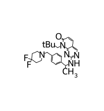 C[C@H](Nc1ncc2ccc(=O)n(CC(C)(C)C)c2n1)c1ccc(CN2CCC(F)(F)CC2)cc1